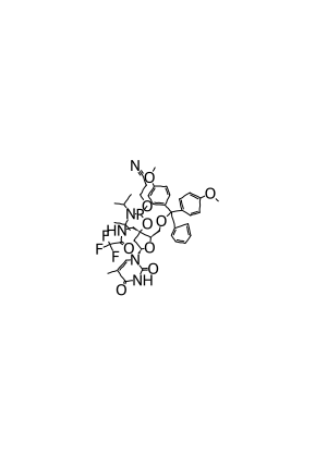 COc1ccc(C(OC[C@H]2O[C@@H](n3cc(C)c(=O)[nH]c3=O)C[C@]2(CNC(=O)C(F)(F)F)OP(OCCC#N)N(C(C)C)C(C)C)(c2ccccc2)c2ccc(OC)cc2)cc1